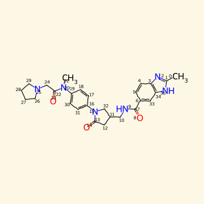 Cc1nc2ccc(C(=O)NCC3CC(=O)N(c4ccc(N(C)C(=O)CN5CCCC5)cc4)C3)cc2[nH]1